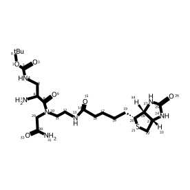 CC(C)(C)OC(=O)NCC(N)C(=O)N(CCNC(=O)CCCC[C@H]1SC[C@H]2NC(=O)N[C@H]21)CC(N)=O